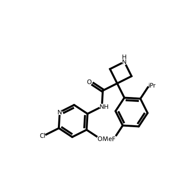 COc1cc(Cl)ncc1NC(=O)C1(c2cc(F)ccc2C(C)C)CNC1